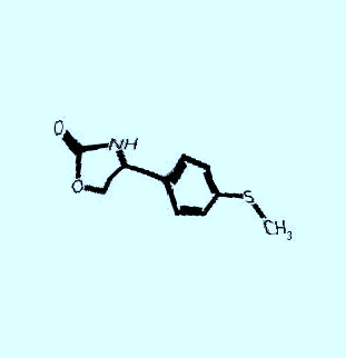 CSc1ccc(C2COC(=O)N2)cc1